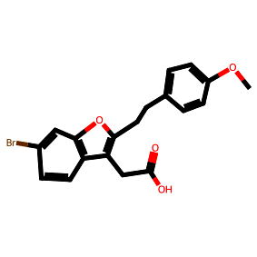 COc1ccc(CCc2oc3cc(Br)ccc3c2CC(=O)O)cc1